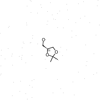 CC1(C)OC[C@H](C[O])O1